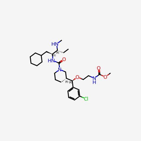 CC[C@@H](NC)[C@H](CC1CCCCC1)NC(=O)N1CCC[C@@H]([C@@H](OCCNC(=O)OC)c2cccc(Cl)c2)C1